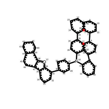 c1ccc(-c2ccc(-c3ccccc3N(c3ccc(-c4ccccc4)cc3)c3ccc(-c4cccc5c4oc4c6ccccc6ccc54)cc3)cc2)cc1